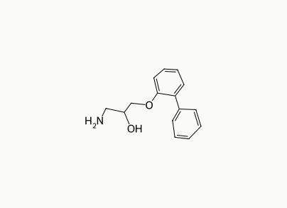 NCC(O)COc1ccccc1-c1ccccc1